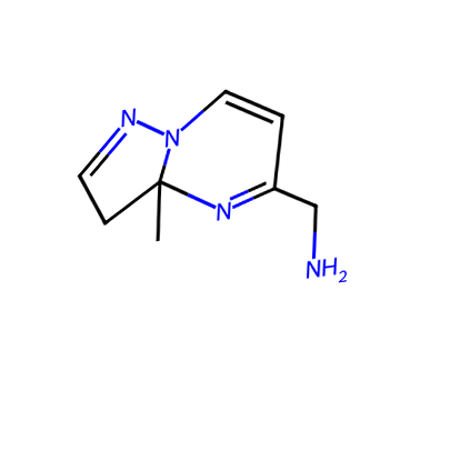 CC12CC=NN1C=CC(CN)=N2